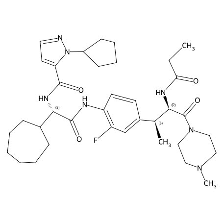 CCC(=O)N[C@@H](C(=O)N1CCN(C)CC1)[C@@H](C)c1ccc(NC(=O)[C@@H](NC(=O)c2ccnn2C2CCCC2)C2CCCCCC2)c(F)c1